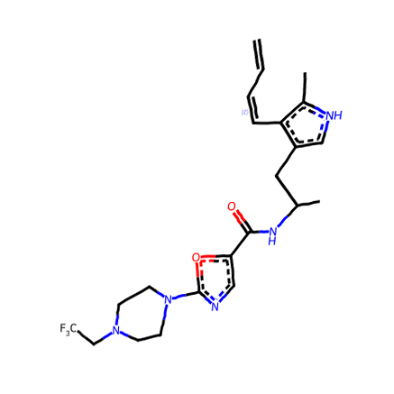 C=C/C=C\c1c(CC(C)NC(=O)c2cnc(N3CCN(CC(F)(F)F)CC3)o2)c[nH]c1C